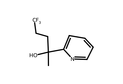 CC(O)(CCC(F)(F)F)c1ccccn1